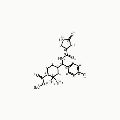 CC(C)(C)OC(=O)N1CCC(C(NC(=O)C2CNC(=O)N2)c2ccc(Cl)cc2)CC1(C)C